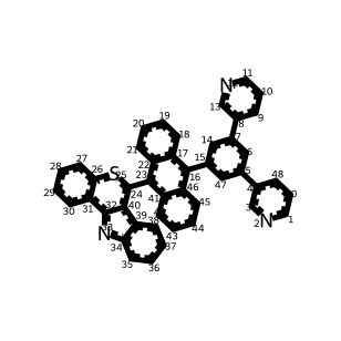 c1cncc(-c2cc(-c3cccnc3)cc(-c3c4ccccc4c(-c4sc5ccccc5c5nc6ccccc6c4-5)c4ccccc34)c2)c1